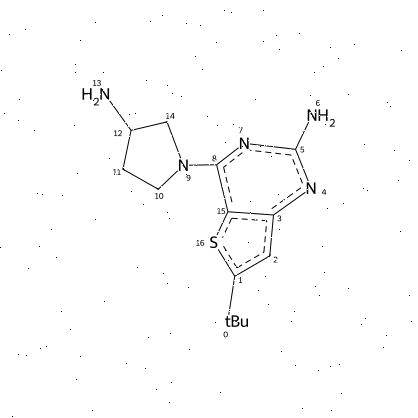 CC(C)(C)c1cc2nc(N)nc(N3CCC(N)C3)c2s1